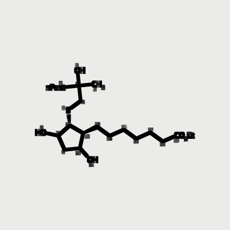 CCCCCC(C)(O)CS[C@H]1C(O)CC(O)[C@@H]1CCCCCCC(=O)OCC